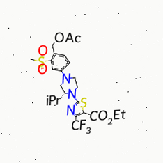 CCOC(=O)c1sc(N2CCN(c3ccc(COC(C)=O)c(S(C)(=O)=O)c3)C[C@H]2C(C)C)nc1C(F)(F)F